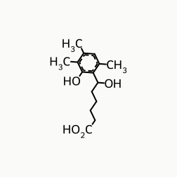 Cc1cc(C)c(C(O)CCCCC(=O)O)c(O)c1C